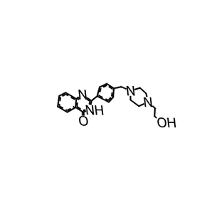 O=c1[nH]c(-c2ccc(CN3CCN(CCO)CC3)cc2)nc2ccccc12